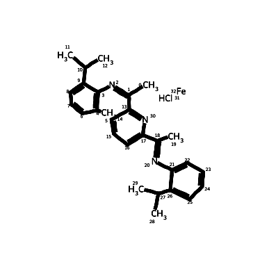 C/C(=N/c1c(C)cccc1C(C)C)c1cccc(/C(C)=N/c2ccccc2C(C)C)n1.Cl.[Fe]